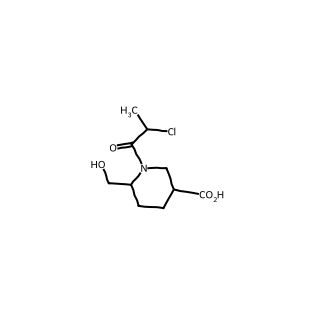 CC(Cl)C(=O)N1CC(C(=O)O)CCC1CO